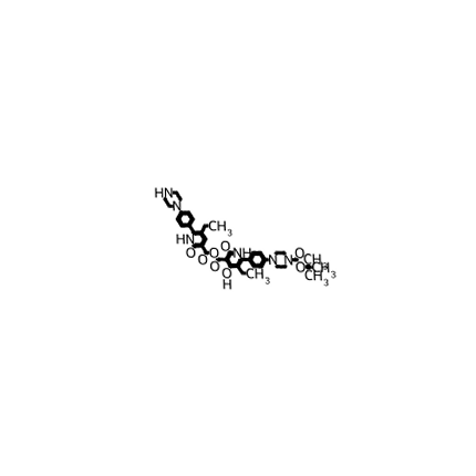 CCc1cc(C(=O)OC(=O)c2c(O)c(CC)c(-c3ccc(N4CCN(C(=O)OC(C)(C)C)CC4)cc3)[nH]c2=O)c(=O)[nH]c1-c1ccc(N2CCNCC2)cc1